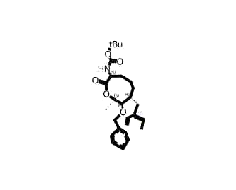 C=C/C(=C\C)C[C@H]1CCC[C@H](NC(=O)OC(C)(C)C)C(=O)O[C@@H](C)[C@@H]1OCc1ccccc1